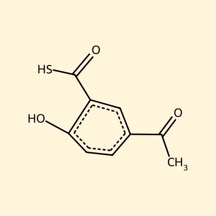 CC(=O)c1ccc(O)c(C(=O)S)c1